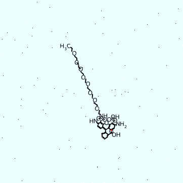 CCCOCCOCCOCCOCCOCCOCCOCCOCCNS(=O)(=O)c1c2oc3c(S(=O)(=O)O)c(N)ccc3c(-c3ccccc3C(=O)O)c-2ccc1=N